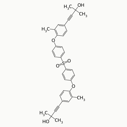 Cc1cc(C#CC(C)(C)O)ccc1Oc1ccc(S(=O)(=O)c2ccc(Oc3ccc(C#CC(C)(C)O)cc3C)cc2)cc1